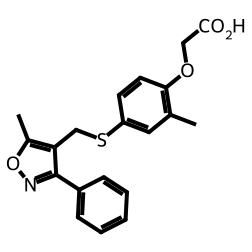 Cc1cc(SCc2c(-c3ccccc3)noc2C)ccc1OCC(=O)O